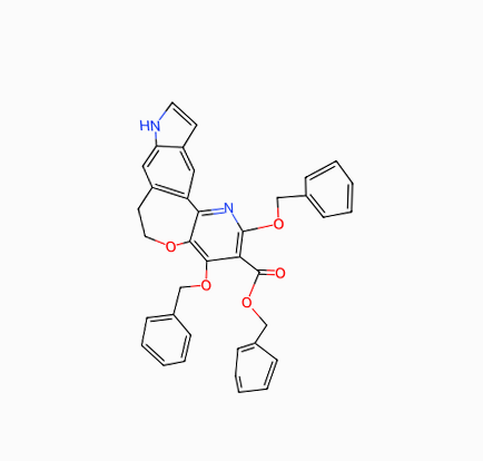 O=C(OCc1ccccc1)c1c(OCc2ccccc2)nc2c(c1OCc1ccccc1)OCCc1cc3[nH]ccc3cc1-2